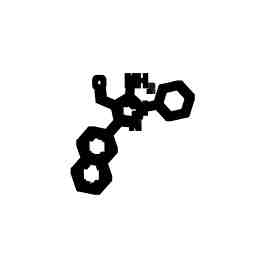 Nc1c(C=O)c(-c2ccc3ccccc3c2)nn1C1CCCCC1